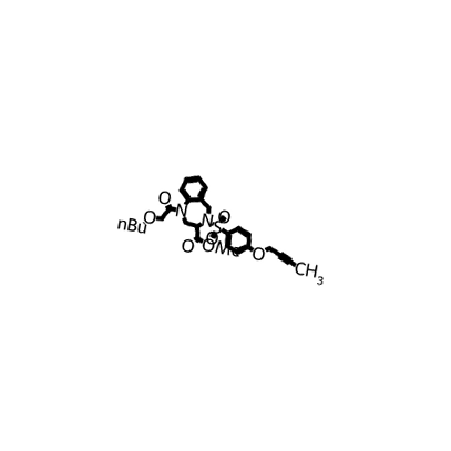 CC#CCOc1ccc(S(=O)(=O)N2Cc3ccccc3N(C(=O)COCCCC)CC2C(=O)OC)cc1